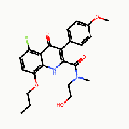 CCCOc1ccc(F)c2c(=O)c(-c3ccc(OC)cc3)c(C(=O)N(C)CCO)[nH]c12